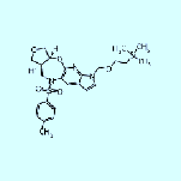 Cc1ccc(S(=O)(=O)N2C[C@H]3COC[C@@H]3Oc3nc4c(ccn4COCC[Si](C)(C)C)cc32)cc1